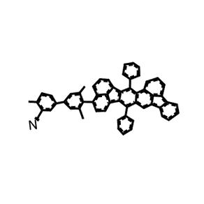 Cc1ccc(-c2cc(C)c(-c3ccc4c5c(-c6ccccc6)c6cc7c8ccccc8c8cccc(c6c(-c6ccccc6)c5c5cccc3c45)c87)c(C)c2)cc1C#N